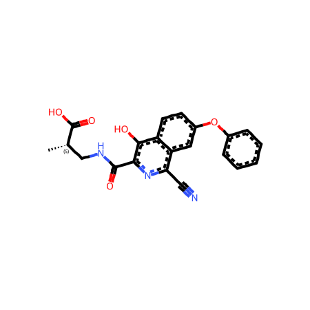 C[C@@H](CNC(=O)c1nc(C#N)c2cc(Oc3ccccc3)ccc2c1O)C(=O)O